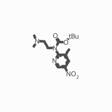 Cc1cc([N+](=O)[O-])cnc1N(CCN(C)C)C(=O)OC(C)(C)C